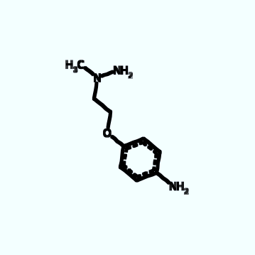 CN(N)CCOc1ccc(N)cc1